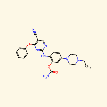 CCN1CCN(c2ccc(Nc3ncc(C#N)c(Oc4ccccc4)n3)c(OC(N)=O)c2)CC1